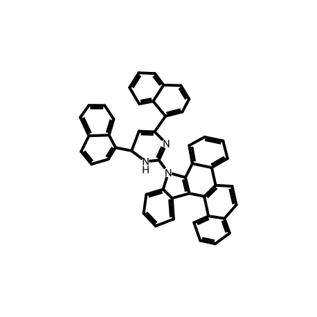 C1=C(c2cccc3ccccc23)N=C(n2c3ccccc3c3c4c5ccccc5ccc4c4ccccc4c32)NC1c1cccc2ccccc12